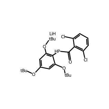 CC(C)(C)Oc1cc(OC(C)(C)C)c(PC(=O)c2c(Cl)cccc2Cl)c(OC(C)(C)C)c1.[LiH]